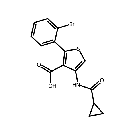 O=C(O)c1c(NC(=O)C2CC2)csc1-c1ccccc1Br